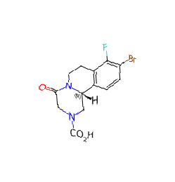 O=C(O)N1CC(=O)N2CCc3c(ccc(Br)c3F)[C@@H]2C1